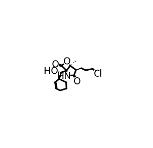 C[C@@]12OC(=O)[C@]1([C@@H](O)C1C=CCCC1)NC(=O)[C@@H]2CCCCl